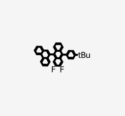 CC(C)(C)c1ccc(-c2c3ccccc3c(-c3cc4ccccc4c4ccccc34)c3cc(F)c(F)cc23)cc1